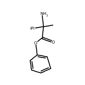 CC(C)C(C)(N)C(=O)Oc1ccccc1